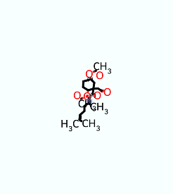 CC(=O)OC1CC[C@@H](OC(C)=O)CC12CC(=O)O[C@@H]2/C=C(\C)CCC=C(C)C